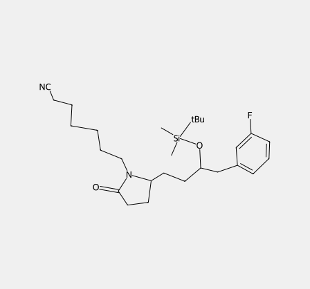 CC(C)(C)[Si](C)(C)OC(CCC1CCC(=O)N1CCCCCCC#N)Cc1cccc(F)c1